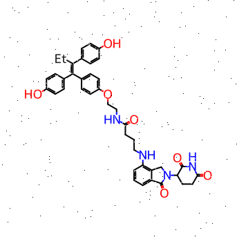 CCC(=C(c1ccc(O)cc1)c1ccc(OCCNC(=O)CCCNc2cccc3c2CN(C2CCC(=O)NC2=O)C3=O)cc1)c1ccc(O)cc1